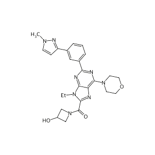 CCn1c(C(=O)N2CC(O)C2)nc2c(N3CCOCC3)nc(-c3cccc(-c4ccn(C)n4)c3)nc21